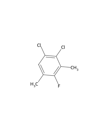 Cc1cc(Cl)c(Cl)c(C)c1F